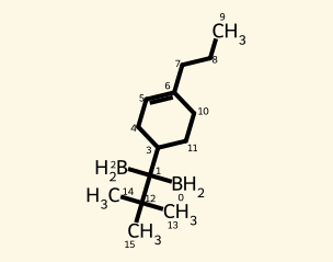 BC(B)(C1CC=C(CCC)CC1)C(C)(C)C